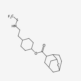 O=C(OC1CCC(CCNSC(F)(F)F)CC1)C1CC2CC3CCC1C(C3)C2